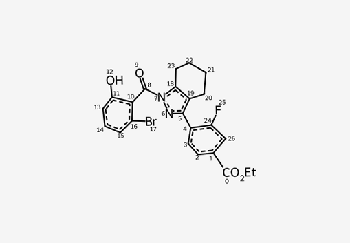 CCOC(=O)c1ccc(-c2nn(C(=O)c3c(O)cccc3Br)c3c2CCCC3)c(F)c1